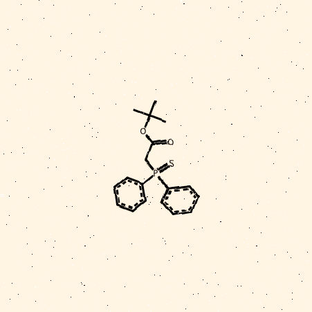 CC(C)(C)OC(=O)CP(=S)(c1ccccc1)c1ccccc1